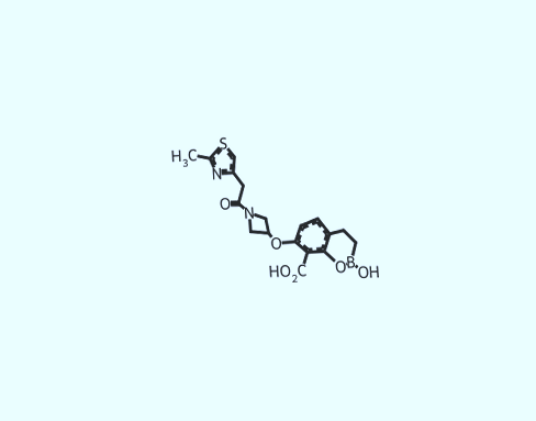 Cc1nc(CC(=O)N2CC(Oc3ccc4c(c3C(=O)O)OB(O)CC4)C2)cs1